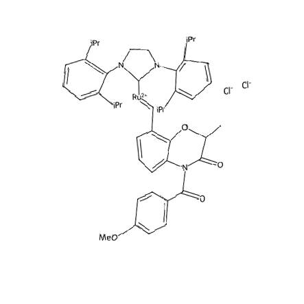 COc1ccc(C(=O)N2C(=O)C(C)Oc3c(/[CH]=[Ru+2]/[CH]4N(c5c(C(C)C)cccc5C(C)C)CCN4c4c(C(C)C)cccc4C(C)C)cccc32)cc1.[Cl-].[Cl-]